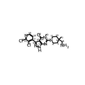 Cn1c(N2CCC(C)(CN)CC2)nc2[nH]nc(-c3ccnc(Cl)c3Cl)c2c1=O